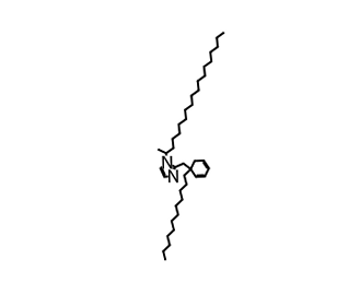 CCCCCCCCCCCCCCCCCC(C)n1ccnc1CC1(CCCCCCCCCCCC)C=CC=CC1